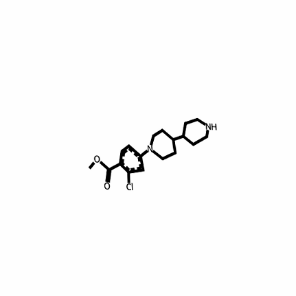 COC(=O)c1ccc(N2CCC(C3CCNCC3)CC2)cc1Cl